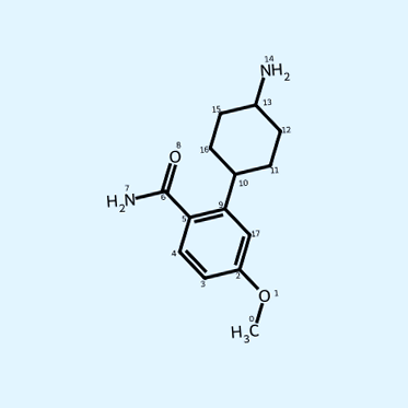 COc1ccc(C(N)=O)c(C2CCC(N)CC2)c1